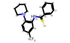 FC(F)(F)c1ccc(N2CCCCC2)c(NC(=S)c2ccccc2)c1